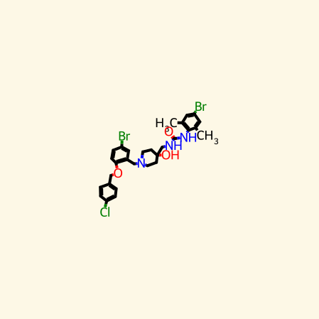 Cc1cc(Br)cc(C)c1NC(=O)NCC1(O)CCN(Cc2cc(Br)ccc2OCc2ccc(Cl)cc2)CC1